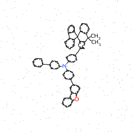 CC1(C)c2ccccc2C2(c3ccccc3-c3ccccc32)c2cc(-c3ccc(N(c4ccc(-c5ccccc5)cc4)c4ccc(-c5ccc6oc7ccccc7c6c5)cc4)cc3)ccc21